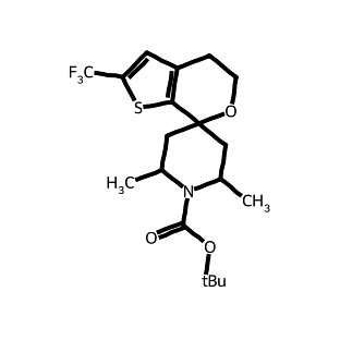 CC1CC2(CC(C)N1C(=O)OC(C)(C)C)OCCc1cc(C(F)(F)F)sc12